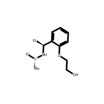 CC[C@H](N[S@@+]([O-])C(C)(C)C)c1ccccc1OCCO